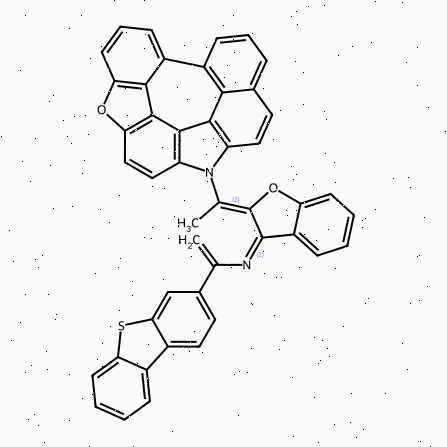 C=C(/N=C1\C(=C(/C)n2c3ccc4cccc5c4c3c3c4c(ccc32)oc2cccc-5c24)Oc2ccccc21)c1ccc2c(c1)sc1ccccc12